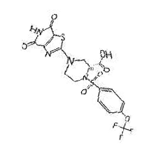 O=C1NC(=O)c2sc(N3CCN(S(=O)(=O)c4ccc(OC(F)(F)F)cc4)[C@@H](C(=O)O)C3)nc21